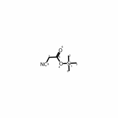 C[Si](C)(C)OC(=O)CC#N